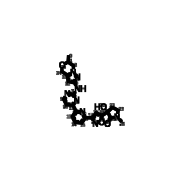 CC1Cn2nc(Nc3nccc(-c4cccc(-c5cc([C@]6(O)CCN(C)C6=O)on5)n4)n3)cc2CO1